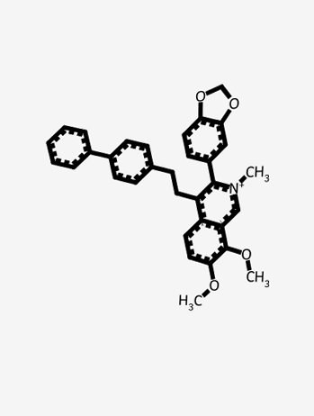 COc1ccc2c(CCc3ccc(-c4ccccc4)cc3)c(-c3ccc4c(c3)OCO4)[n+](C)cc2c1OC